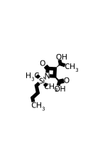 CCCC[Si](C)(C)N1C(=O)[C@H](C(C)O)[C@H]1C(=O)O